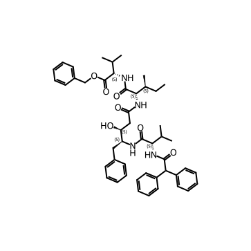 CC[C@H](C)[C@H](NC(=O)C[C@H](O)[C@H](Cc1ccccc1)NC(=O)[C@@H](NC(=O)C(c1ccccc1)c1ccccc1)C(C)C)C(=O)N[C@H](C(=O)OCc1ccccc1)C(C)C